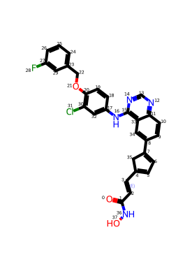 O=C(/C=C/C1=CC=C(c2ccc3ncnc(Nc4ccc(OCc5cccc(F)c5)c(Cl)c4)c3c2)C1)NO